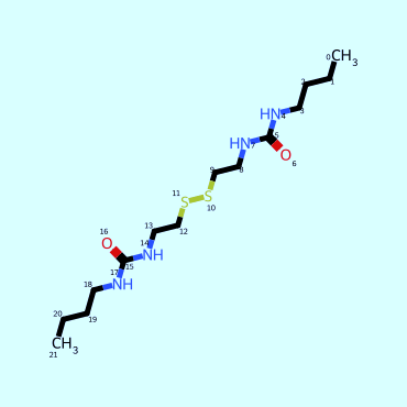 CCCCNC(=O)NCCSSCCNC(=O)NCCCC